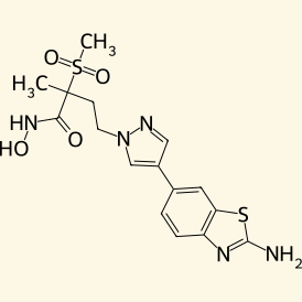 CC(CCn1cc(-c2ccc3nc(N)sc3c2)cn1)(C(=O)NO)S(C)(=O)=O